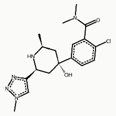 C[C@H]1C[C@@](O)(c2ccc(Cl)c(C(=O)N(C)C)c2)C[C@@H](c2cn(C)nn2)N1